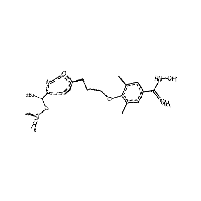 Cc1cc(C(=N)NO)cc(C)c1OCCCc1cc(C(O[SiH](C)C)C(C)(C)C)no1